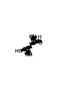 CC(=O)Nc1ccc(N2CCC3(CC2)CC3C2CC23CCN(c2ccc(C(C)(C)O)cc2-c2cn(C)c(=O)c4[nH]ccc24)CC3)c(-c2cn(C)c(=O)c3[nH]ccc23)c1